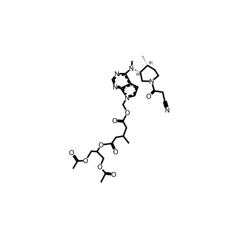 CC(=O)OCC(COC(C)=O)OC(=O)CC(C)CC(=O)OCn1ccc2c(N(C)[C@H]3CN(C(=O)CC#N)CC[C@H]3C)ncnc21